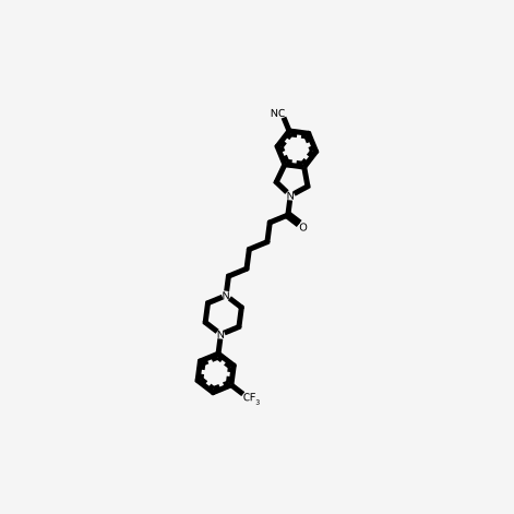 N#Cc1ccc2c(c1)CN(C(=O)CCCCCN1CCN(c3cccc(C(F)(F)F)c3)CC1)C2